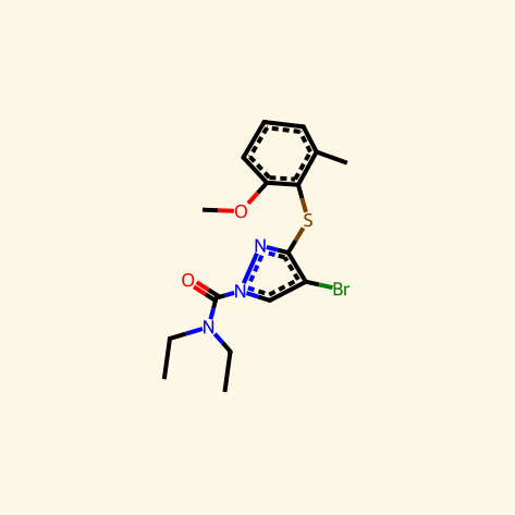 CCN(CC)C(=O)n1cc(Br)c(Sc2c(C)cccc2OC)n1